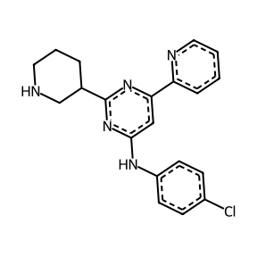 Clc1ccc(Nc2cc(-c3ccccn3)nc(C3CCCNC3)n2)cc1